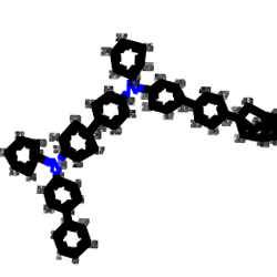 c1ccc(-c2ccc(N(c3ccccc3)c3ccc(-c4ccc(N(c5ccccc5)c5ccc(-c6ccc(C78CC9CC(C7)C(C9)C8)cc6)cc5)cc4)cc3)cc2)cc1